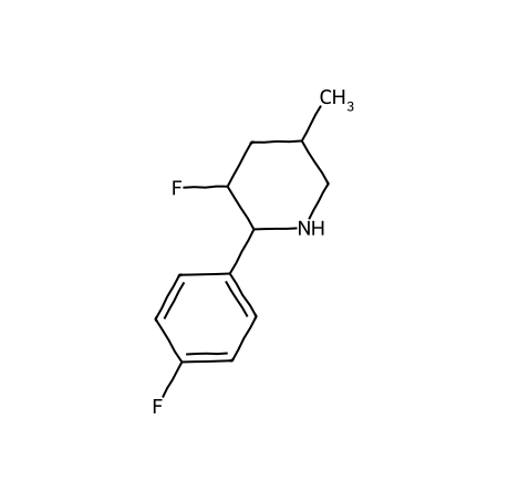 CC1CNC(c2ccc(F)cc2)C(F)C1